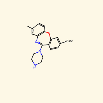 COc1ccc2c(c1)Oc1ccc(C)cc1N=C2N1CCNCC1